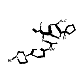 C=C/C(F)=C(\N=C(/C)NC(=C)/C=C\C(=C/C)N1CCN(CC)CC1)c1cc(C(C)=O)c(C2(CC)CCCC2)s1